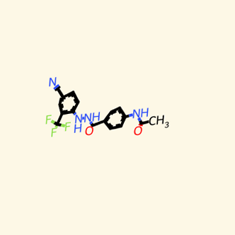 CC(=O)Nc1ccc(C(=O)NNc2ccc(C#N)cc2C(F)(F)F)cc1